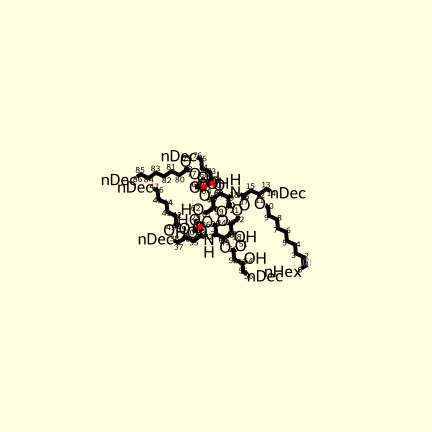 CCCCCC/C=C\CCCCCCCCOC(CCCCCCCCCCC)CC(=O)NC1[C@H](OCC2OC(OP(=O)(O)O)C(NC(=O)CC(CCCCCCCCCCC)OC(=O)CCCCCCCCCCCCCCC)[C@@H](OC(=O)CC(O)CCCCCCCCCCC)[C@@H]2O)OC(CO)[C@@H](OP(=O)(O)O)[C@@H]1OC(=O)CC(CCCCCCCCCCC)OC(=O)CCCCCCCCCCCCCCCC